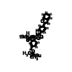 CC(C)(C)NS(=O)(=O)c1cc(CO[Si](C)(C)C(C)(C)C)ccc1S(=O)(=O)NC(=O)c1ccc(-c2cc3ccccc3o2)cc1